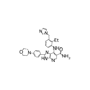 CCc1c(Cn2ccnc2)cccc1Nc1c(C(N)=O)cnc2[nH]c(-c3ccc(N4CCOCC4)cc3)nc12